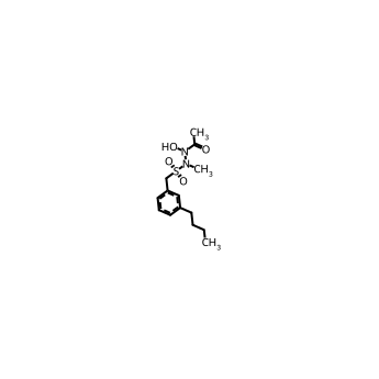 CCCCc1cccc(CS(=O)(=O)N(C)N(O)C(C)=O)c1